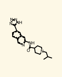 CC(C)CN1CCC(C(=O)Nc2cc3cc(-c4nnn[nH]4)ccc3cn2)CC1